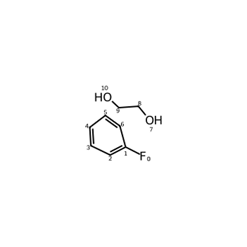 Fc1ccccc1.OCCO